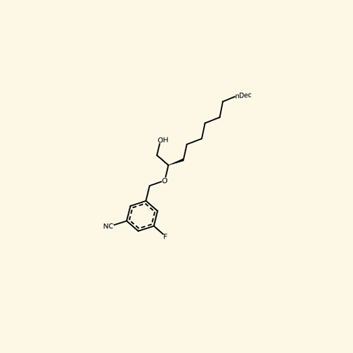 CCCCCCCCCCCCCCCC[C@H](CO)OCc1cc(F)cc(C#N)c1